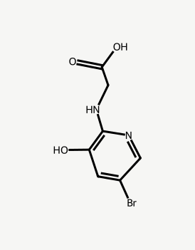 O=C(O)CNc1ncc(Br)cc1O